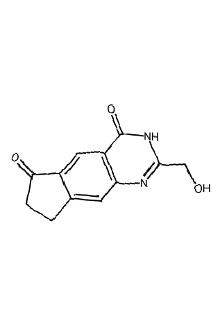 O=C1CCc2cc3nc(CO)[nH]c(=O)c3cc21